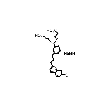 O=C(O)CCSC(SCCC(=O)O)c1cccc(CCCc2ccc3ccc(Cl)cc3n2)c1.[NaH].[NaH]